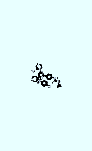 C[C@H]1COCCN1c1cc(C2(S(=O)(=O)c3ccc(Cl)cc3)CCOCC2)nc(-c2ccc(NC(=O)NC3CC3)cc2)n1